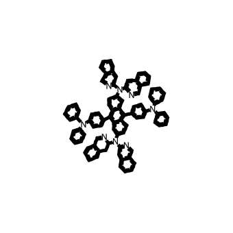 C1=NC(N(c2ccc3c(-c4ccc(N(c5ccccc5)c5ccccc5)cc4)c4cc(N(c5cc6ccccc6cn5)c5cc6ccccc6cn5)ccc4c(-c4ccc(N(c5ccccc5)c5ccccc5)cc4)c3c2)c2cc3ccccc3cn2)Cc2ccccc21